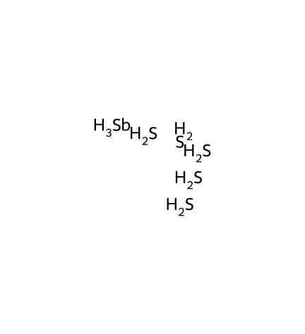 S.S.S.S.S.[SbH3]